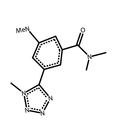 CNc1cc(C(=O)N(C)C)cc(-c2nnnn2C)c1